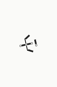 C=CS(=O)(=O)C=C.[CH]=O